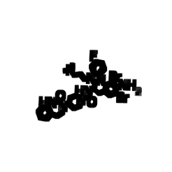 CN(C)CCCn1c([C@@H](Cc2cc(Br)c(N)c(Br)c2)NC(=O)N2CCC(N3CCc4ccccc4NC3=O)CC2)nc2ccc(F)cc21